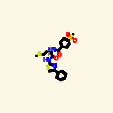 CSCC[C@H](NC(=O)c1ccc(S(C)(=O)=O)cc1)C(=O)Nc1nc(-c2ccccc2)cs1